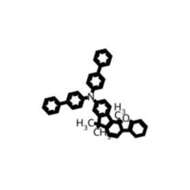 CC1(C)C2=C(c3ccc(N(c4ccc(-c5ccccc5)cc4)c4ccc(-c5ccccc5)cc4)cc31)C1(C)OC3=C(CCC=C3)C1C=C2